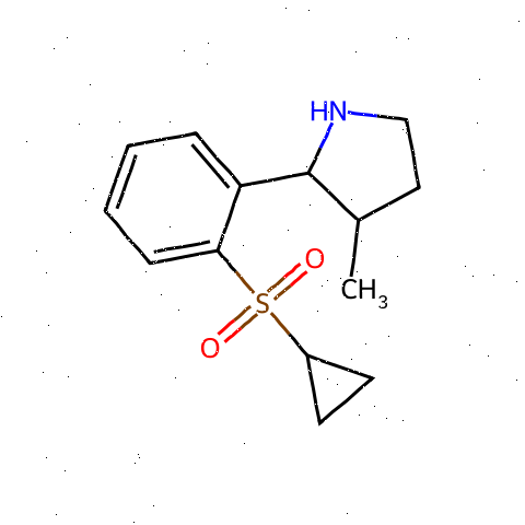 CC1CCNC1c1ccccc1S(=O)(=O)C1CC1